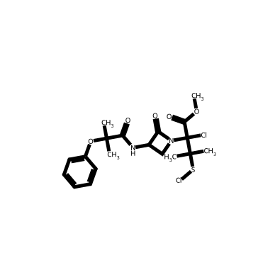 COC(=O)C(Cl)(N1CC(NC(=O)C(C)(C)Oc2ccccc2)C1=O)C(C)(C)SCl